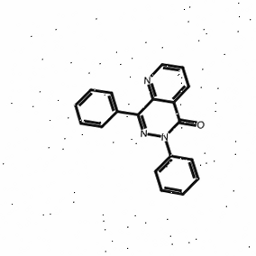 O=c1c2cccnc2c(-c2ccccc2)nn1-c1ccccc1